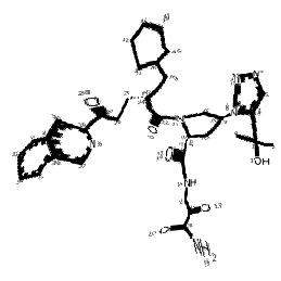 CC(C)(O)c1cnnn1[C@H]1C[C@@H](C(=O)NCC(=O)C(N)=O)N(C(=O)[C@H](CCC(=O)c2cc3ccccc3cn2)CC2CCCCC2)C1